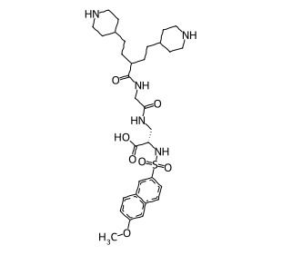 COc1ccc2cc(S(=O)(=O)N[C@@H](CNC(=O)CNC(=O)C(CCC3CCNCC3)CCC3CCNCC3)C(=O)O)ccc2c1